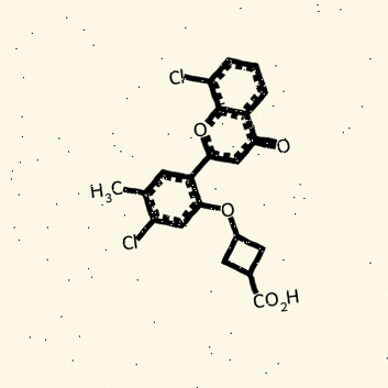 Cc1cc(-c2cc(=O)c3cccc(Cl)c3o2)c(OC2CC(C(=O)O)C2)cc1Cl